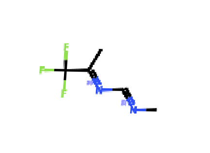 C/N=C/N=C(\C)C(F)(F)F